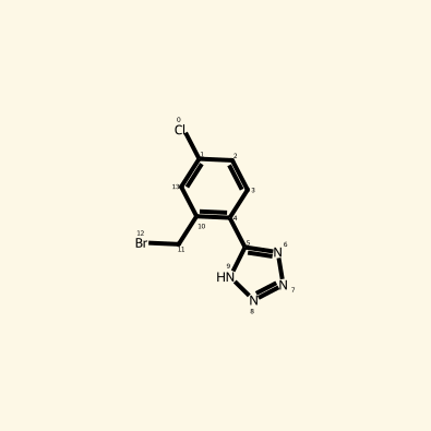 Clc1ccc(-c2nnn[nH]2)c(CBr)c1